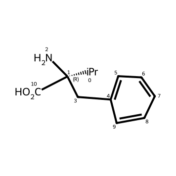 CC(C)[C@](N)(Cc1ccccc1)C(=O)O